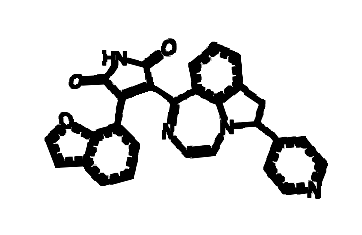 O=C1NC(=O)C(c2cccc3ccoc23)=C1C1=NC=CN2c3c(cccc31)CC2c1ccncc1